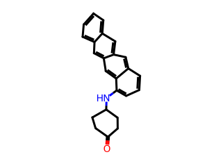 O=C1CCC(Nc2cccc3cc4cc5ccccc5cc4cc23)CC1